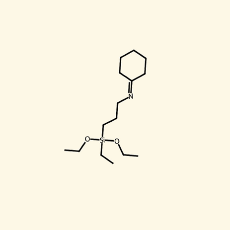 CCO[Si](CC)(CCCN=C1CCCCC1)OCC